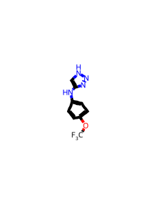 FC(F)(F)Oc1ccc(Nc2c[nH]nn2)cc1